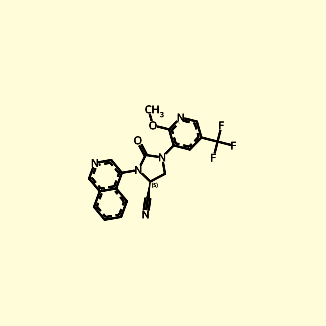 COc1ncc(C(F)(F)F)cc1N1C[C@@H](C#N)N(c2cncc3ccccc23)C1=O